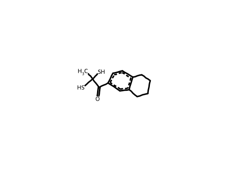 CC(S)(S)C(=O)c1ccc2c(c1)CCCC2